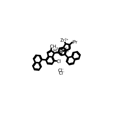 CC1=Cc2c(-c3cccc4ccccc34)ccc(Cl)c2C1c1cc2c3c(-c4cccc5ccccc45)c1[Si](C)(C)C3=C(C(C)C)[CH]2[Zr+2].[Cl-].[Cl-]